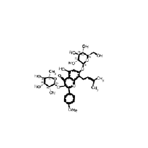 COc1ccc(-c2oc3c(CC=C(C)C)c(O[C@@H]4O[C@H](CO)[C@@H](O)[C@H](O)[C@H]4O)cc(O)c3c(=O)c2O[C@H]2O[C@@H](C)[C@H](O)[C@@H](O)[C@H]2O)cc1